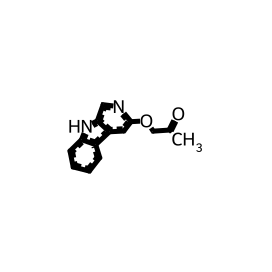 CC(=O)COc1cc2c(cn1)[nH]c1ccccc12